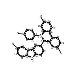 Cc1ccc(-[si]2c(-c3ccc4oc5ccc(C)cc5c4c3)c3cc(C)ccc3c3ccc(C)cc32)cc1